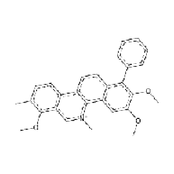 COc1cc2c(ccc3c4ccc(C)c(OC)c4c[n+](C)c23)c(-c2ccccc2)c1OC